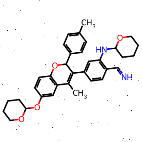 CC1=C(c2ccc(C=N)c(NC3CCCCO3)c2)C(c2ccc(C)cc2)Oc2ccc(OC3CCCCO3)cc21